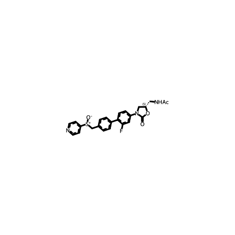 CC(=O)NC[C@H]1CN(c2ccc(-c3ccc(C[S+]([O-])c4ccncc4)cc3)c(F)c2)C(=O)O1